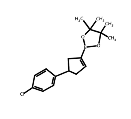 CC1(C)OB(C2=CCC(c3ccc(Cl)cc3)C2)OC1(C)C